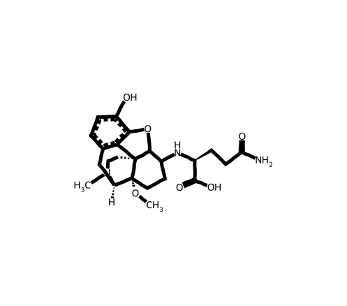 CO[C@@]12CCC(N[C@@H](CCC(N)=O)C(=O)O)C3Oc4c(O)ccc5c4[C@@]31CCN(C)[C@@H]2C5